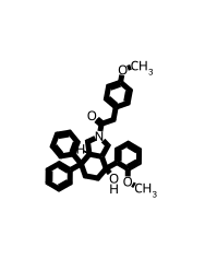 COc1ccc(CC(=O)N2CC3[C@H](C2)C(c2ccccc2)(c2ccccc2)CCC3(O)c2ccccc2OC)cc1